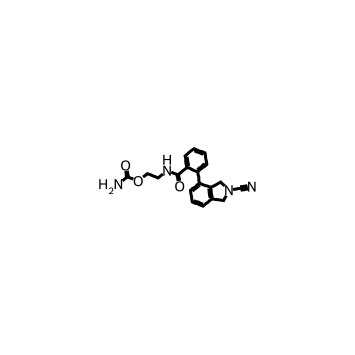 N#CN1Cc2cccc(-c3ccccc3C(=O)NCCOC(N)=O)c2C1